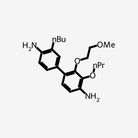 CCCCc1cc(-c2ccc(N)c(OCCC)c2OCCOC)ccc1N